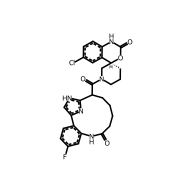 O=C1CCCCC(C(=O)N2CCC[C@@]3(C2)OC(=O)Nc2ccc(Cl)cc23)c2nc(c[nH]2)-c2ccc(F)cc2N1